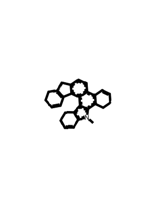 Cn1c2c(c3c4c5c(ccc4c4c(c31)CCC=C4)CC1=C5C=CCC1)CCC=C2